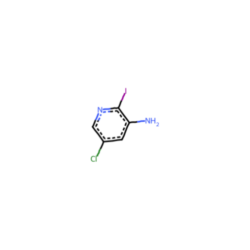 Nc1cc(Cl)cnc1I